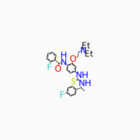 CCN(CC)CCOc1cc(NC(=S)NC(C)c2ccc(F)cc2)ccc1NC(=O)c1ccccc1F